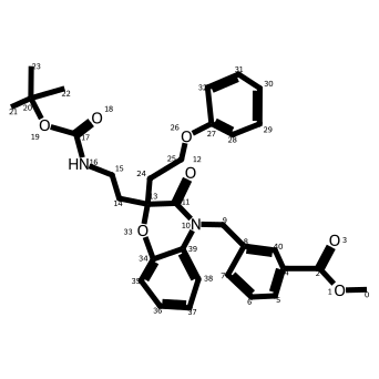 COC(=O)c1cccc(CN2C(=O)C(CCNC(=O)OC(C)(C)C)(CCOc3ccccc3)Oc3ccccc32)c1